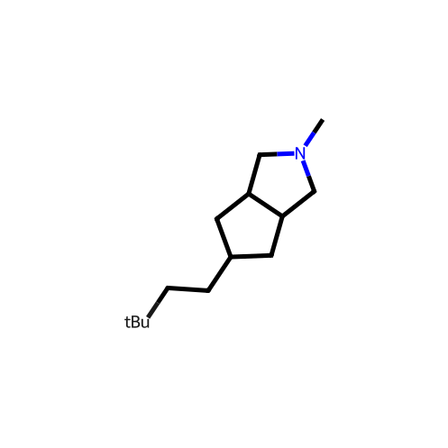 CN1CC2CC(CCC(C)(C)C)CC2C1